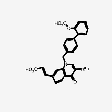 CCCCc1cn(Cc2ccc(-c3ccccc3OC(=O)O)cc2)c2cc(C=CC(=O)O)ccc2c1=O